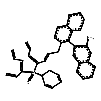 C=C/C=C(\C=C)P(=O)(C(/C=C/Cc1ccc2ccccc2c1-c1cc2ccccc2cc1N)=C/C=C)C1C=CC=CC1